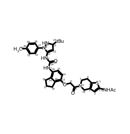 CC(=O)Nc1cc2c(s1)CCN(C(=O)COc1ccc(NC(=O)NC3=CC(C(C)(C)C)NN3c3ccc(C)cc3)c3c1CCC3)C2